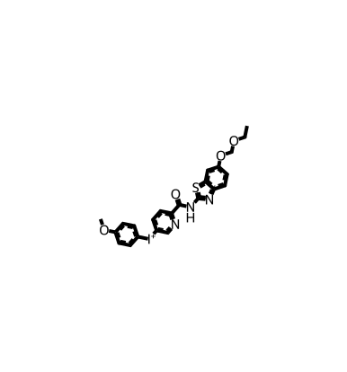 CCOCOc1ccc2nc(NC(=O)c3ccc([I+]c4ccc(OC)cc4)cn3)sc2c1